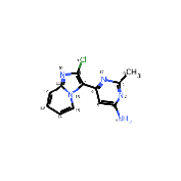 Cc1nc(N)cc(-c2c(Cl)nc3ccccn23)n1